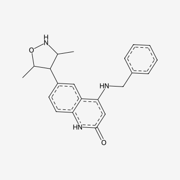 CC1NOC(C)C1c1ccc2[nH]c(=O)cc(NCc3ccccc3)c2c1